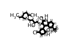 CCC1CCC(C)N(CCC(O)CSc2c(-c3cc(Cl)ccc3O)c3cc(C(F)(F)F)ccc3[nH]c2=O)C1